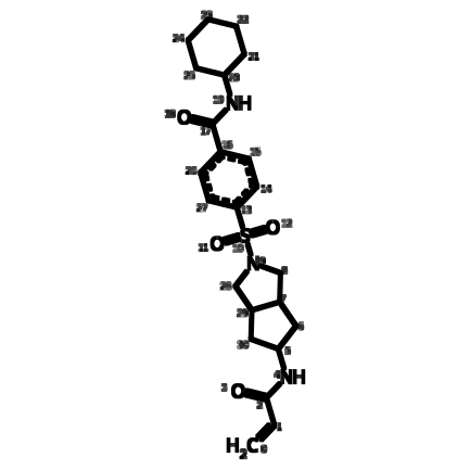 C=CC(=O)NC1CC2CN(S(=O)(=O)c3ccc(C(=O)NC4CCCCC4)cc3)CC2C1